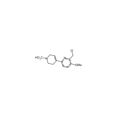 COc1ccc(C2=CCN(C(=O)O)CC2)nc1CCl